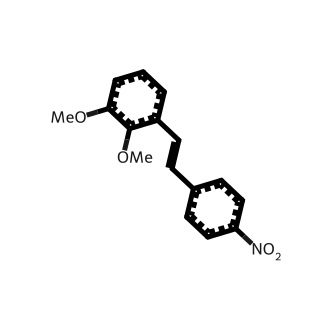 COc1cccc(C=Cc2ccc([N+](=O)[O-])cc2)c1OC